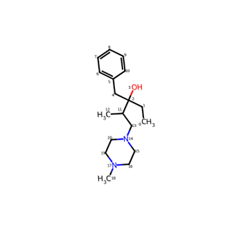 CCC(O)(Cc1ccccc1)C(C)CN1CCN(C)CC1